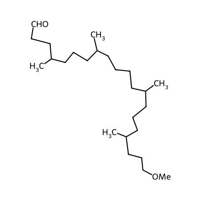 COCCCC(C)CCCC(C)CCCCC(C)CCCC(C)CCC=O